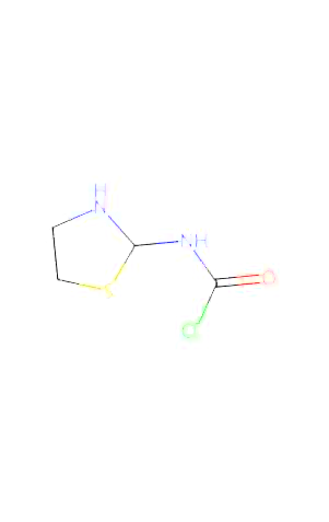 O=C(Cl)NC1NCCS1